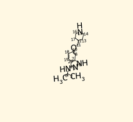 CC(C)Nc1n[nH]c2cc(OCC3CCNCC3)ccc12